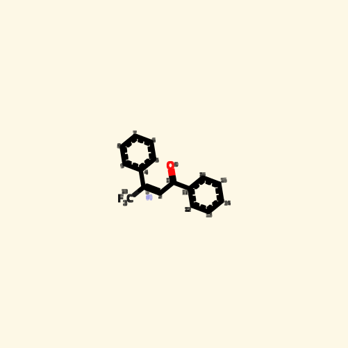 O=C(/C=C(\c1ccccc1)C(F)(F)F)c1ccccc1